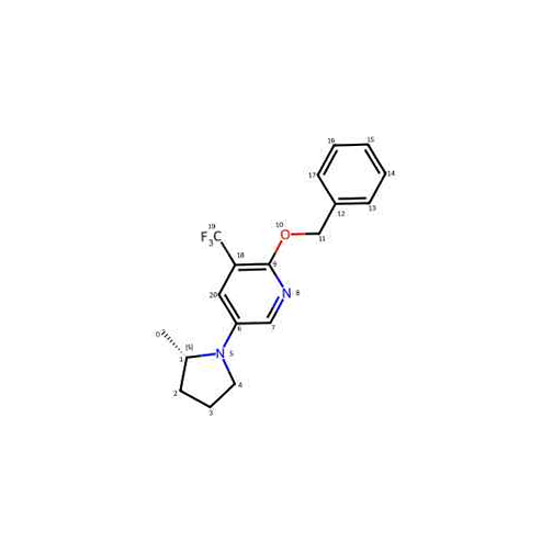 [CH2][C@H]1CCCN1c1cnc(OCc2ccccc2)c(C(F)(F)F)c1